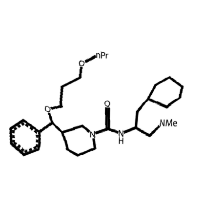 CCCOCCCOC(c1ccccc1)C1CCCN(C(=O)NC(CNC)CC2CCCCC2)C1